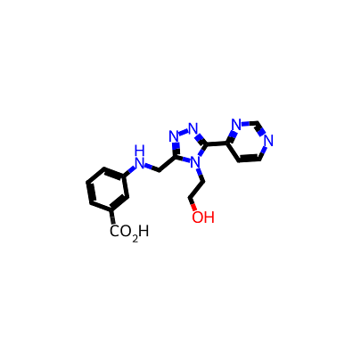 O=C(O)c1cccc(NCc2nnc(-c3ccncn3)n2CCO)c1